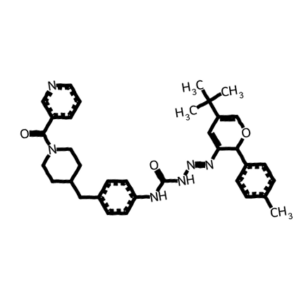 Cc1ccc(C2OC=C(C(C)(C)C)C=C2N=NNC(=O)Nc2ccc(CC3CCN(C(=O)c4cccnc4)CC3)cc2)cc1